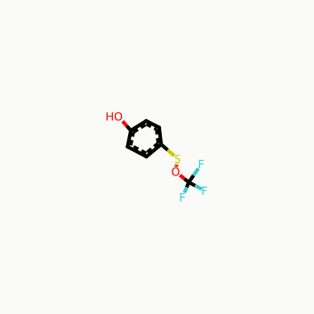 Oc1ccc(SOC(F)(F)F)cc1